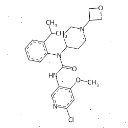 COc1cc(Cl)ncc1NC(=O)N(c1ccccc1C(C)C)C1CCN(C2COC2)CC1